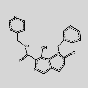 O=C(NCc1ccncc1)c1ncc2ccc(=O)n(Cc3ccccc3)c2c1O